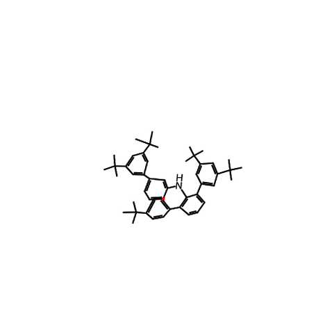 CC(C)(C)c1ccc(-c2cccc(-c3cc(C(C)(C)C)cc(C(C)(C)C)c3)c2Nc2cccc(-c3cc(C(C)(C)C)cc(C(C)(C)C)c3)c2)cc1